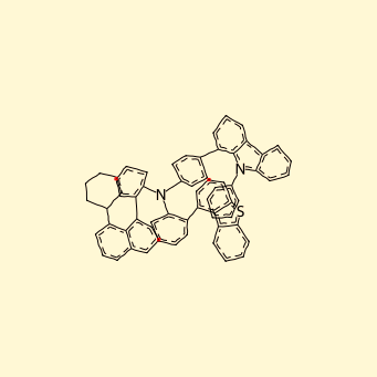 c1ccc(-n2c3ccccc3c3cccc(-c4ccc(N(c5ccccc5-c5cccc6cccc(C7CCCCC7)c56)c5ccccc5-c5cccc6sc7ccccc7c56)cc4)c32)cc1